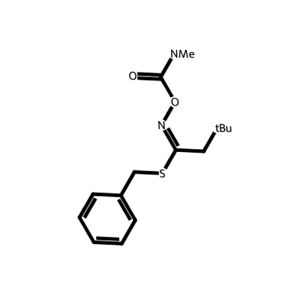 CNC(=O)ON=C(CC(C)(C)C)SCc1ccccc1